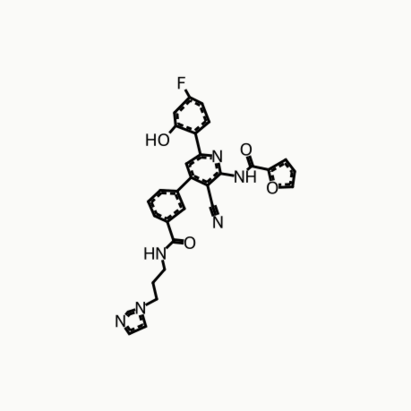 N#Cc1c(-c2cccc(C(=O)NCCCn3ccnc3)c2)cc(-c2ccc(F)cc2O)nc1NC(=O)c1ccco1